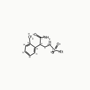 CCS(=O)(=O)NCC(C(N)=O)c1ccccc1C(F)(F)F